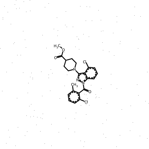 COC(=O)C1CCN(c2nn(C(=O)c3c(C)cccc3Cl)c3cccc(Cl)c23)CC1